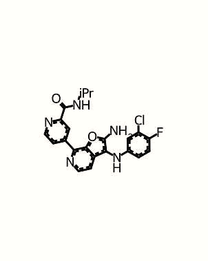 CC(C)NC(=O)c1cc(-c2nccc3c(Nc4ccc(F)c(Cl)c4)c(N)oc23)ccn1